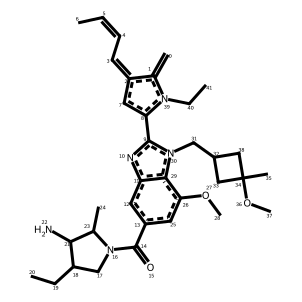 C=c1/c(=C\C=C/C)cc(-c2nc3cc(C(=O)N4CC(CC)C(N)C4C)cc(OC)c3n2CC2CC(C)(OC)C2)n1CC